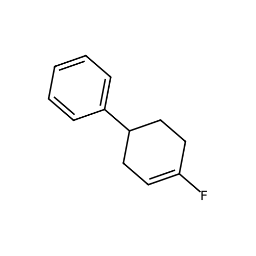 FC1=CCC(c2ccccc2)CC1